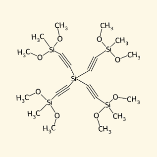 CO[Si](C)(C#C[Si](C#C[Si](C)(OC)OC)(C#C[Si](C)(OC)OC)C#C[Si](C)(OC)OC)OC